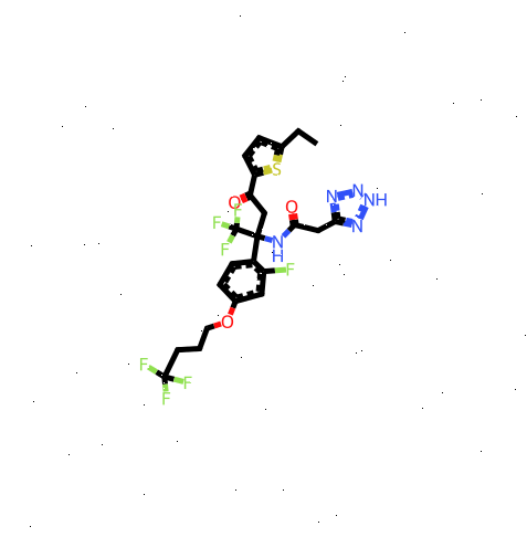 CCc1ccc(C(=O)CC(NC(=O)Cc2nn[nH]n2)(c2ccc(OCCCC(F)(F)F)cc2F)C(F)(F)F)s1